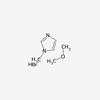 Br.COC.Cn1ccnc1